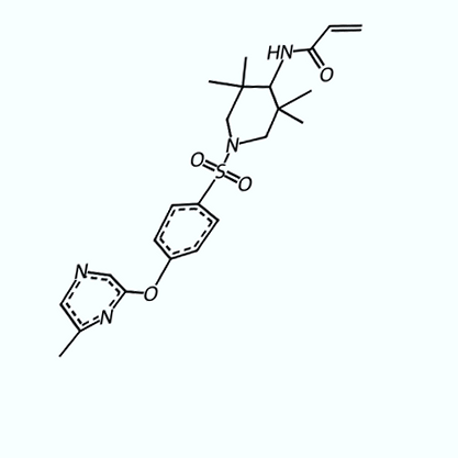 C=CC(=O)NC1C(C)(C)CN(S(=O)(=O)c2ccc(Oc3cncc(C)n3)cc2)CC1(C)C